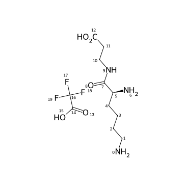 NCCCC[C@H](N)C(=O)NCCC(=O)O.O=C(O)C(F)(F)F